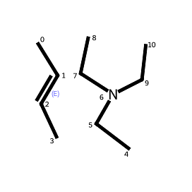 C/C=C/C.CCN(CC)CC